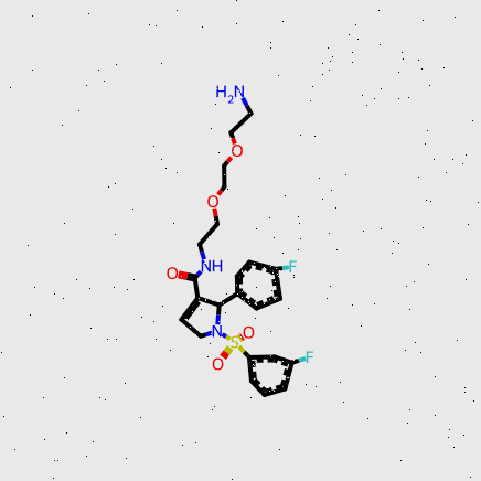 NCCOCCOCCNC(=O)C1=CCN(S(=O)(=O)c2cccc(F)c2)C1c1ccc(F)cc1